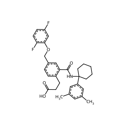 Cc1cc(C)cc(C2(NC(=O)c3cc(COc4cc(F)ccc4F)ccc3CCC(=O)O)CCCCC2)c1